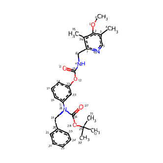 COc1c(C)cnc(CNC(=O)Oc2cccc(N(Cc3ccccc3)C(=O)OC(C)(C)C)c2)c1C